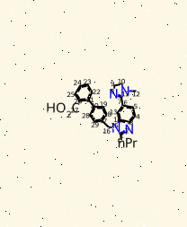 CCCc1nc2ccc(C3=NCCN3C)cc2n1Cc1ccc(-c2ccccc2C(=O)O)cc1